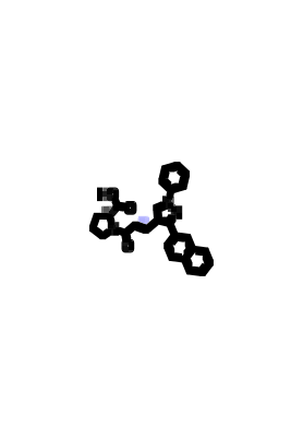 O=C(O)[C@@H]1CCCN1C(=O)/C=C/c1cn(-c2ccccc2)nc1-c1ccc2ccccc2c1